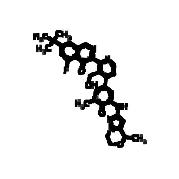 CC1OCCn2nc(Nc3cc(-c4ccnc(-n5ncc6cc(C(C)(C)C)cc(F)c6c5=O)c4CO)cn(C)c3=O)cc21